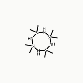 C[Si]1(C)N[Si](C)(C)NS(C)(C)N[Si](C)(C)N1